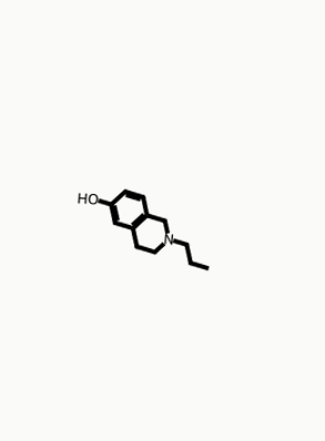 CCCN1CCc2cc(O)ccc2C1